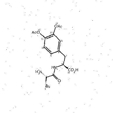 CC[C@H](C)[C@H](N)C(=O)N[C@@H](Cc1ccc(OC(C)=O)c(OC(C)=O)c1)C(=O)O